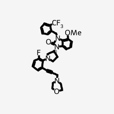 COc1cccc2c1n(Cc1ccccc1C(F)(F)F)c(=O)n2[C@@H]1CCN(c2c(F)cccc2C#CCN2CCOCC2)C1